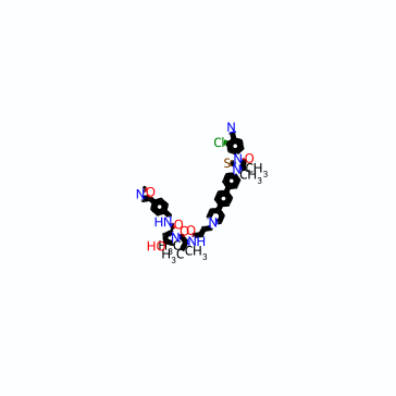 CC(C)(C)C(NC(=O)CCCN1CCC(c2ccc(-c3ccc(N4C(=S)N(c5ccc(C#N)c(Cl)c5)C(=O)C4(C)C)cc3)cc2)CC1)C(=O)N1C[C@H](O)C[C@H]1C(=O)NCc1ccc(-c2cnco2)cc1